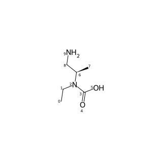 CCN(C(=O)O)[C@H](C)CN